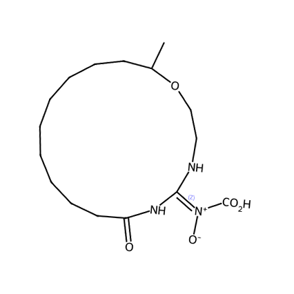 CC1CCCCCCCCCC(=O)N/C(=[N+](\[O-])C(=O)O)NCCO1